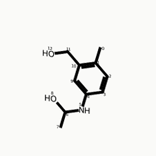 Cc1ccc(NC(C)O)cc1CO